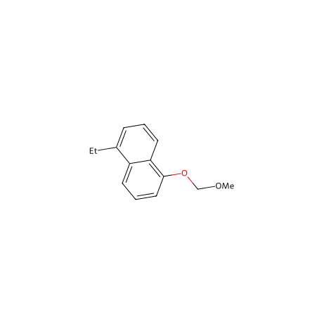 CCc1cccc2c(OCOC)cccc12